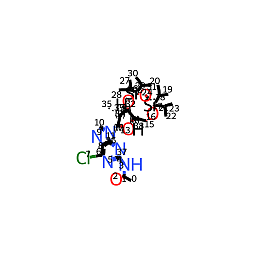 CC(=O)Nc1nc(Cl)c2ncn([C@@H]3O[C@@H]4CO[Si](C(C)C)(C(C)C)O[Si](C(C)C)(C(C)C)O[C@H]4[C@H]3C)c2n1